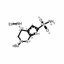 CCCCN1C[C@H](NCC)c2cc(S(N)(=O)=O)sc2S1